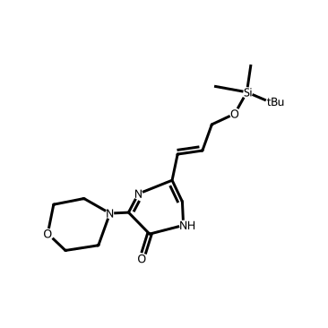 CC(C)(C)[Si](C)(C)OC/C=C/c1c[nH]c(=O)c(N2CCOCC2)n1